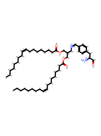 CCCCCCCC/C=C\CCCCCCCC(=O)OCC(C/N=C\c1ccc(CC(N)C=O)cc1)COC(=O)CCCCCCC/C=C\CCCCCCCC